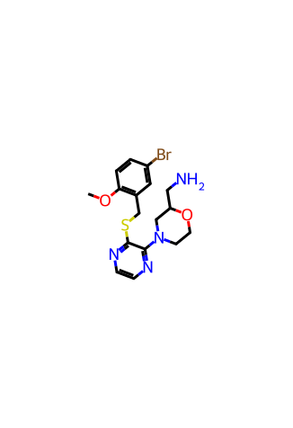 COc1ccc(Br)cc1CSc1nccnc1N1CCOC(CN)C1